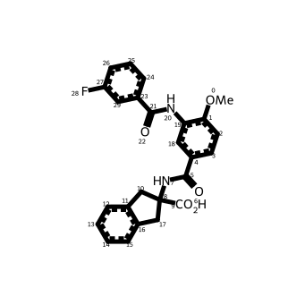 COc1ccc(C(=O)NC2(C(=O)O)Cc3ccccc3C2)cc1NC(=O)c1cccc(F)c1